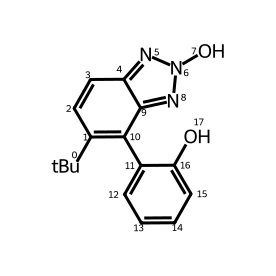 CC(C)(C)c1ccc2nn(O)nc2c1-c1ccccc1O